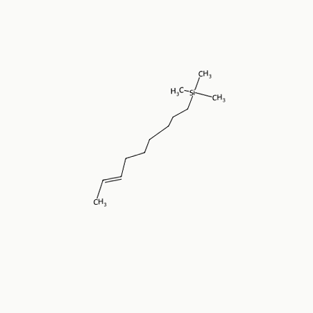 CC=CCCCCCC[Si](C)(C)C